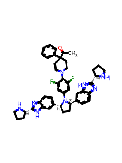 CC(=O)C1(c2ccccc2)CCN(c2c(F)cc(N3[C@@H](c4ccc5nc([C@@H]6CCCN6)[nH]c5c4)CC[C@@H]3c3ccc4nc([C@@H]5CCCN5)[nH]c4c3)cc2F)CC1